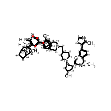 Cc1ncsc1-c1ccc([C@H](C)NC(=O)[C@@H]2C[C@@H](O)CN2N2CCC(CN3CCC4(CC3)CC(N3CCO[C@H](C(C)(C)N5C6CCC5CN(c5cc(-c7ccccc7O)nnc5N)C6)C3)C4)CC2)cc1